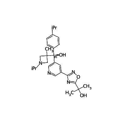 CC(C)c1ccc([C@](O)(c2cncc(-c3noc(C(C)(C)O)n3)c2)C2(C)CN(C(C)C)C2)cc1